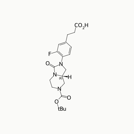 CC(C)(C)OC(=O)N1CCN2C(=O)N(c3ccc(CCC(=O)O)cc3F)C[C@@H]2C1